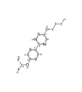 CCCCOc1cnc(-c2ccc(OC(F)F)cc2)nc1